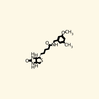 COc1cc(C)cc(CNC(=O)CCCC[C@@H]2SC[C@@H]3NC(=O)N[C@@H]32)c1